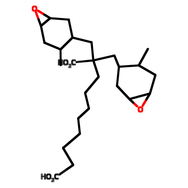 CC1CC2OC2CC1CC(CCCCCCCC(=O)O)(CC1CC2OC2CC1C)C(=O)O